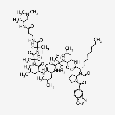 CCCCCCCC[C@@H](C(=O)N[C@@H](CC(C)C)C(=O)NC(C)(C)C(=O)N[C@@H](CC(C)C)C(=O)N[C@@H](CC(C)C)C(=O)NC(C)(C)C(=O)NC(C)(C)C(=O)NCCC(=O)N[C@@H](C)CN(C)C)N(C=O)[C@@H]1CCCN1C(=O)c1ccc2ocnc2c1